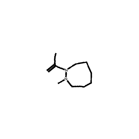 C=C(C)N1CCCCCCN1C